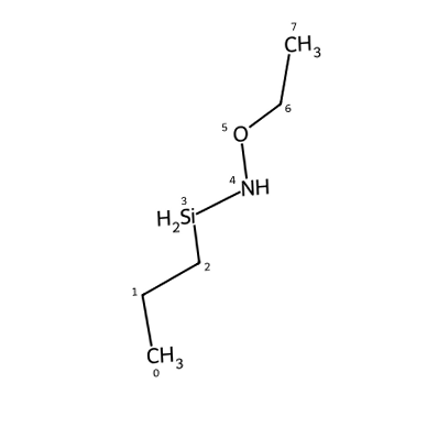 CCC[SiH2]NOCC